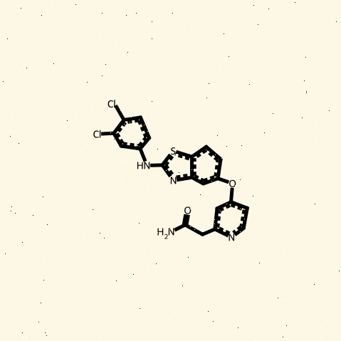 NC(=O)Cc1cc(Oc2ccc3sc(Nc4ccc(Cl)c(Cl)c4)nc3c2)ccn1